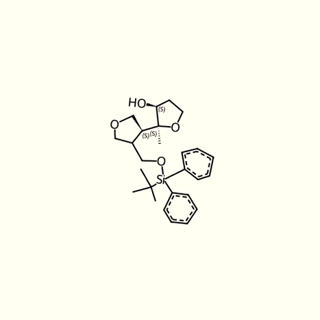 CC(C)(C)[Si](OCC1COC[C@H]1[C@]1(C)OCC[C@@H]1O)(c1ccccc1)c1ccccc1